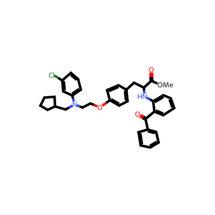 COC(=O)C(Cc1ccc(OCCN(CC2CCCC2)c2cccc(Cl)c2)cc1)Nc1ccccc1C(=O)c1ccccc1